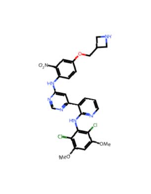 COc1cc(OC)c(Cl)c(Nc2ncccc2-c2cc(Nc3ccc(OCC4CNC4)cc3[N+](=O)[O-])ncn2)c1Cl